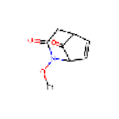 CCON1C(=O)CC2C=CC1C2=O